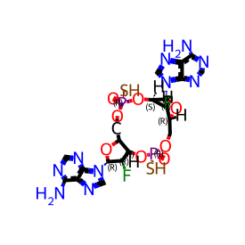 Nc1ncnc2c1ncn2[C@@H]1OC2CO[P@@](=O)(S)O[C@@H]3[C@H](F)[C@@H](CO[P@@](=O)(S)O[C@H]2[C@H]1F)O[C@H]3n1cnc2c(N)ncnc21